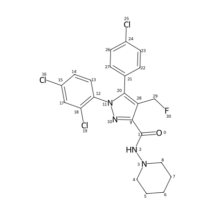 O=C(NN1CCCCC1)c1nn(-c2ccc(Cl)cc2Cl)c(-c2ccc(Cl)cc2)c1CF